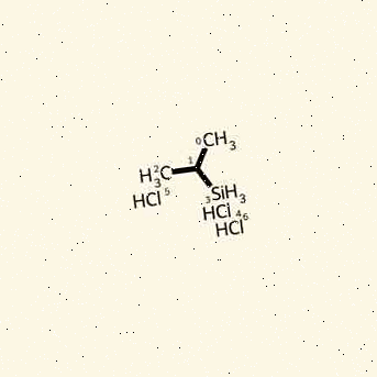 CC(C)[SiH3].Cl.Cl.Cl